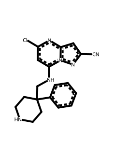 N#Cc1cc2nc(Cl)cc(NCC3(c4ccccc4)CCNCC3)n2n1